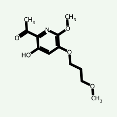 COCCCOc1cc(O)c(C(C)=O)nc1OC